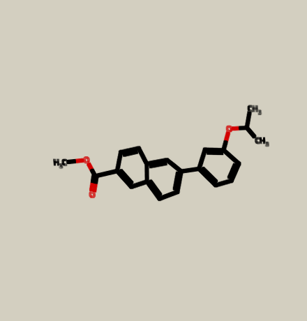 COC(=O)c1ccc2cc(-c3cccc(OC(C)C)c3)ccc2c1